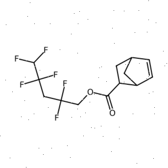 O=C(OCC(F)(F)CC(F)(F)C(F)F)C1CC2C=CC1C2